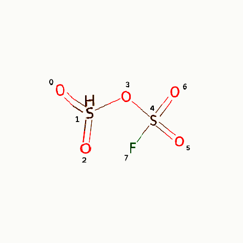 O=[SH](=O)OS(=O)(=O)F